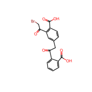 O=C(O)c1ccc(CC(=O)c2ccccc2C(=O)O)cc1C(=O)CBr